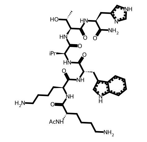 CC(=O)N[C@@H](CCCCN)C(=O)N[C@@H](CCCCN)C(=O)N[C@@H](Cc1c[nH]c2ccccc12)C(=O)N[C@H](C(=O)N[C@H](C(=O)N[C@@H](Cc1c[nH]cn1)C(N)=O)[C@@H](C)O)C(C)C